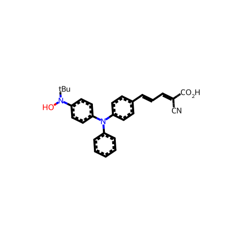 CC(C)(C)N(O)c1ccc(N(c2ccccc2)c2ccc(/C=C/C=C(\C#N)C(=O)O)cc2)cc1